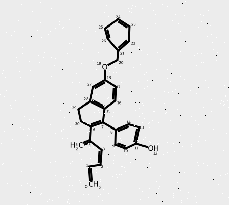 C=C/C=C\C(=C)C1=C(c2ccc(O)cc2)c2ccc(OCc3ccccc3)cc2CC1